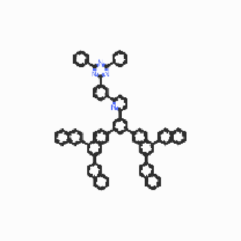 c1ccc(-c2nc(-c3ccccc3)nc(-c3cccc(-c4cccc(-c5cc(-c6ccc7c(-c8ccc9ccccc9c8)cc(-c8ccc9ccccc9c8)cc7c6)cc(-c6ccc7c(-c8ccc9ccccc9c8)cc(-c8ccc9ccccc9c8)cc7c6)c5)n4)c3)n2)cc1